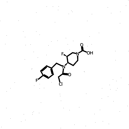 O=C(O)N1CC[C@@H](N(Cc2ccc(F)cc2)C(=O)CCl)[C@@H](F)C1